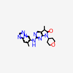 Cc1cc2ncnn2cc1Nc1ncc2c(n1)N(C1CCOCC1)C(=O)C2C